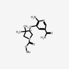 CC(C)(C)OC(=O)N1C[C@H](Oc2cc(C(N)=O)cnc2N)C(C)(C)C1